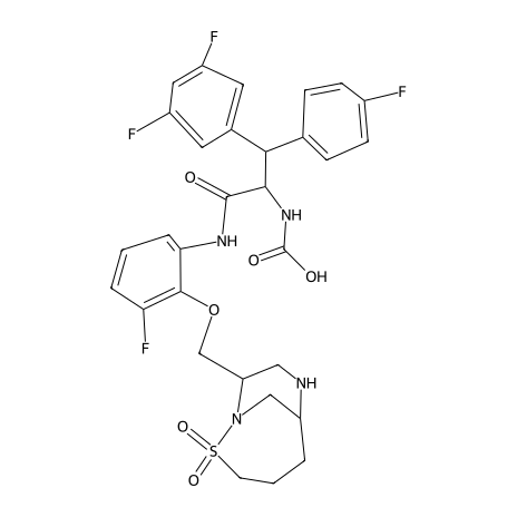 O=C(O)NC(C(=O)Nc1cccc(F)c1OCC1CNC2CCCS(=O)(=O)N1C2)C(c1ccc(F)cc1)c1cc(F)cc(F)c1